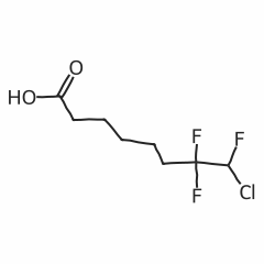 O=C(O)CCCCCC(F)(F)C(F)Cl